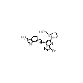 Cn1cnc2cc(CNc3cc(N4CCCC[C@H]4CCO)nc4c(Br)cnn34)ccc21